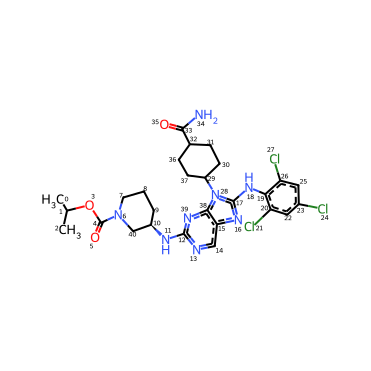 CC(C)OC(=O)N1CCC[C@@H](Nc2ncc3nc(Nc4c(Cl)cc(Cl)cc4Cl)n(C4CCC(C(N)=O)CC4)c3n2)C1